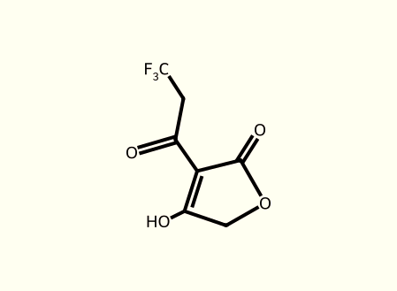 O=C(CC(F)(F)F)C1=C(O)COC1=O